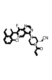 C=CC(=O)N1CCN(c2ncnc3c(F)c(/C(C)=c4\c(Cl)ccc\c4=C\C)ncc23)C[C@@H]1CC#N